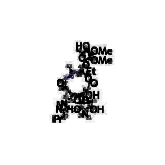 CC[C@H]1OC(=O)C[C@@H](O)[C@H](C)[C@@H](O[C@@H]2O[C@H](C)[C@@H](O)C(N(C)C)C2O)[C@@H](CCn2cc(CC(C)C)nn2)C[C@@H](C)C(=O)/C=C/C(C)=C/[C@@H]1COC1=C(OC)[C@@H](OC)[C@H](O)C(C)O1